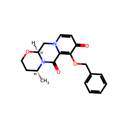 C[C@@H]1CCO[C@H]2Cn3ccc(=O)c(OCc4ccccc4)c3C(=O)N12